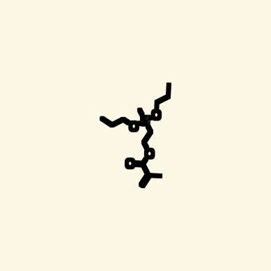 C=C(C)C(=O)OCC[Si](C)(OCCC)OCCC